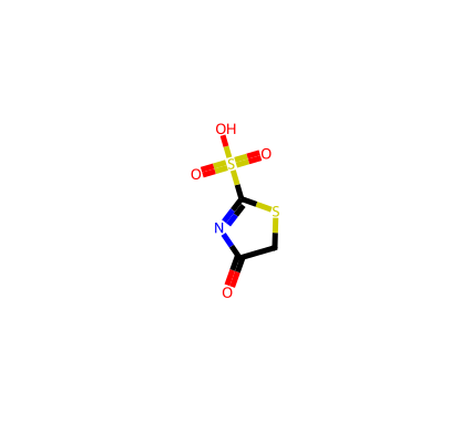 O=C1CSC(S(=O)(=O)O)=N1